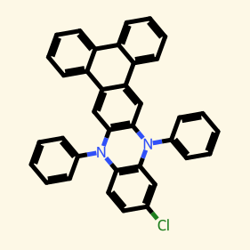 Clc1ccc2c(c1)N(c1ccccc1)c1cc3c4ccccc4c4ccccc4c3cc1N2c1ccccc1